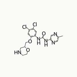 Cc1cnc(NC(=O)Nc2cc(Cl)c(Cl)cc2OCC2CNCCO2)cn1